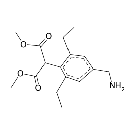 CCc1cc(CN)cc(CC)c1C(C(=O)OC)C(=O)OC